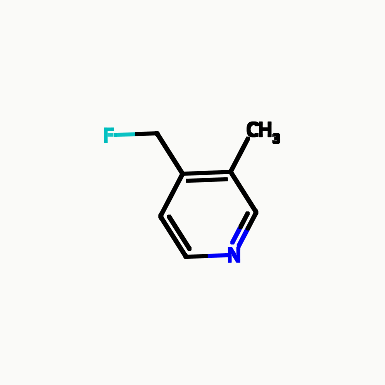 Cc1cnccc1CF